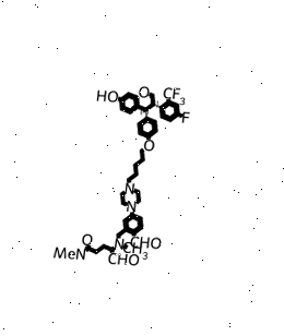 CNC(=O)CCC(C=O)N(C)Cc1cc(N2CCN(CCCCCOc3ccc([C@@H]4c5ccc(O)cc5OC[C@@H]4c4ccc(F)cc4C(F)(F)F)cc3)CC2)ccc1C=O